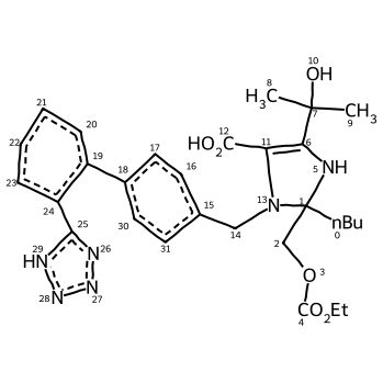 CCCCC1(COC(=O)OCC)NC(C(C)(C)O)=C(C(=O)O)N1Cc1ccc(-c2ccccc2-c2nnn[nH]2)cc1